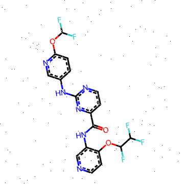 O=C(Nc1cnccc1OC(F)C(F)F)c1ccnc(Nc2ccc(OC(F)F)nc2)n1